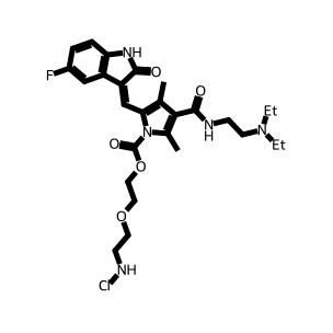 CCN(CC)CCNC(=O)c1c(C)c(/C=C2\C(=O)Nc3ccc(F)cc32)n(C(=O)OCCOCCNCl)c1C